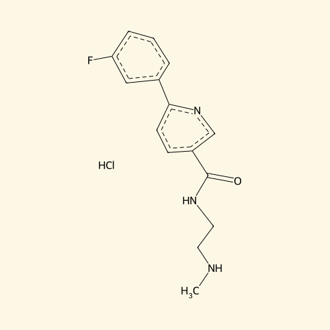 CNCCNC(=O)c1ccc(-c2cccc(F)c2)nc1.Cl